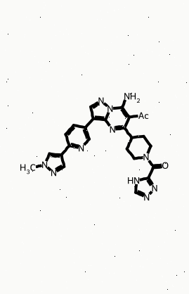 CC(=O)c1c(C2CCN(C(=O)c3nnc[nH]3)CC2)nc2c(-c3ccc(-c4cnn(C)c4)nc3)cnn2c1N